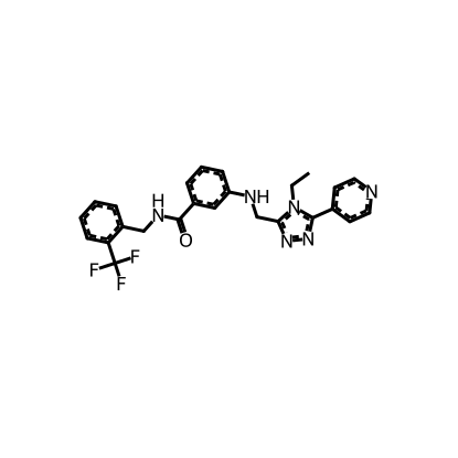 CCn1c(CNc2cccc(C(=O)NCc3ccccc3C(F)(F)F)c2)nnc1-c1ccncc1